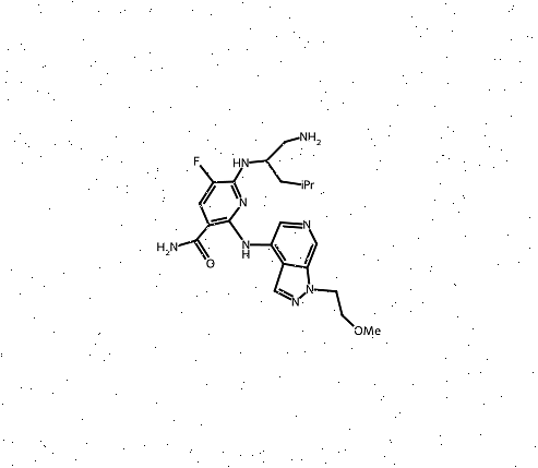 COCCn1ncc2c(Nc3nc(NC(CN)CC(C)C)c(F)cc3C(N)=O)cncc21